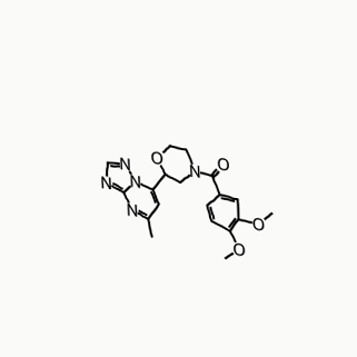 COc1ccc(C(=O)N2CCOC(c3cc(C)nc4ncnn34)C2)cc1OC